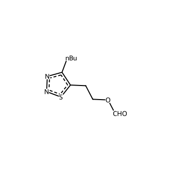 CCCCc1nnsc1CCOC=O